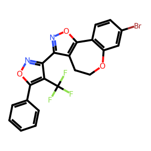 FC(F)(F)c1c(-c2noc3c2CCOc2cc(Br)ccc2-3)noc1-c1ccccc1